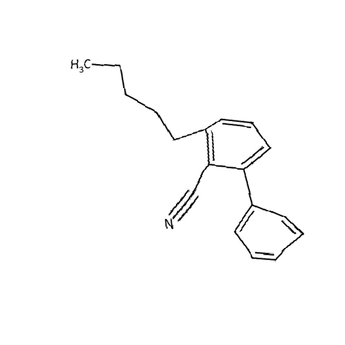 CCCCCc1cccc(-c2ccccc2)c1C#N